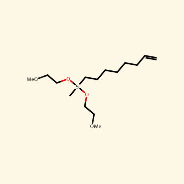 C=CCCCCCC[Si](C)(OCCOC)OCCOC